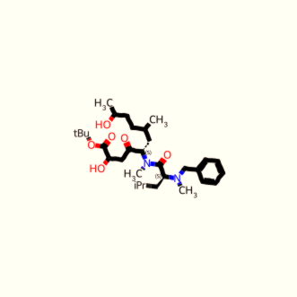 CC(C)C[C@@H](C(=O)N(C)[C@@H](CC(C)CCC(C)O)C(=O)CC(O)C(=O)OC(C)(C)C)N(C)Cc1ccccc1